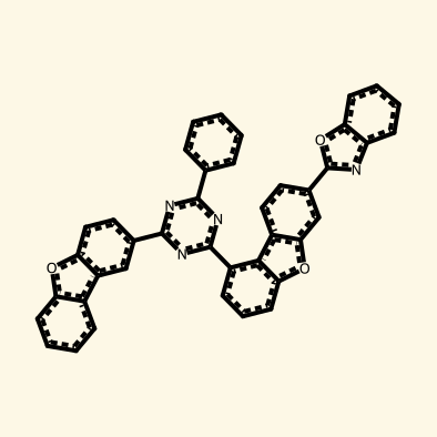 c1ccc(-c2nc(-c3ccc4oc5ccccc5c4c3)nc(-c3cccc4oc5cc(-c6nc7ccccc7o6)ccc5c34)n2)cc1